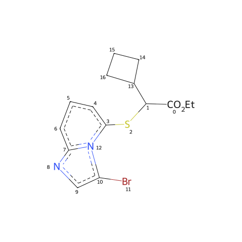 CCOC(=O)C(Sc1cccc2ncc(Br)n12)C1CCC1